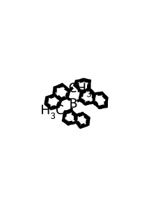 Cc1ccc2ccccc2c1B(c1c(C)ccc2ccccc12)c1cc2ccccc2c2ccccc12